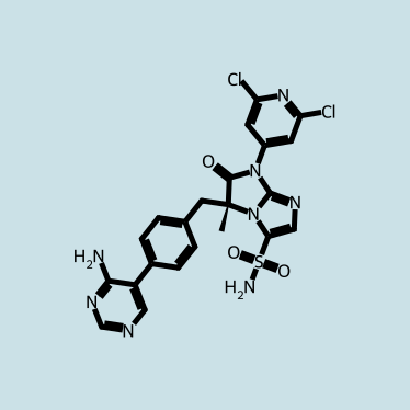 C[C@@]1(Cc2ccc(-c3cncnc3N)cc2)C(=O)N(c2cc(Cl)nc(Cl)c2)c2ncc(S(N)(=O)=O)n21